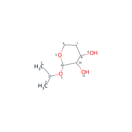 CC(C)OC1OCCC(O)C1O